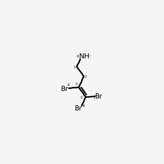 [NH]CCC(Br)=C(Br)Br